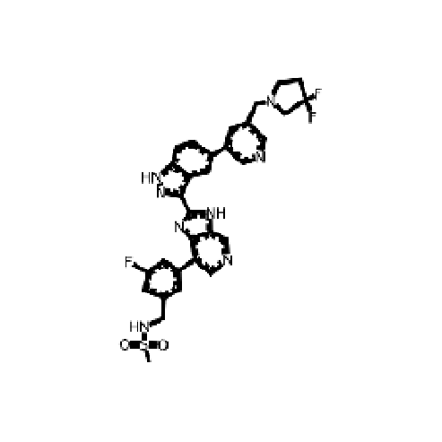 CS(=O)(=O)NCc1cc(F)cc(-c2cncc3[nH]c(-c4n[nH]c5ccc(-c6cncc(CN7CCC(F)(F)C7)c6)cc45)nc23)c1